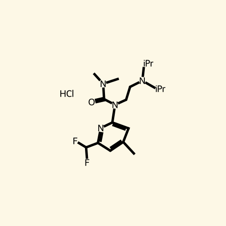 Cc1cc(C(F)F)nc(N(CCN(C(C)C)C(C)C)C(=O)N(C)C)c1.Cl